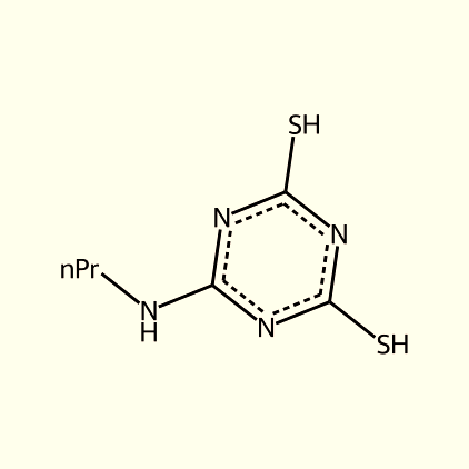 CCCNc1nc(S)nc(S)n1